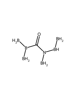 BBN(B)C(=O)B(B)B